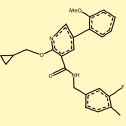 COc1ccccc1-c1cnc(OCC2CC2)c(C(=O)NCc2ccc(C)c(F)c2)c1